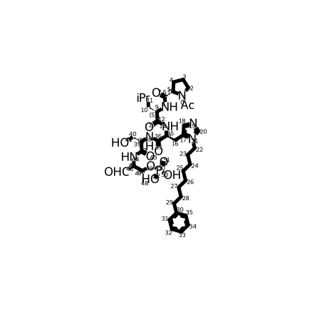 CC(=O)N1CCC[C@H]1C(=O)N[C@@H](CC(C)C)C(=O)N[C@@H](Cc1cncn1CCCCCCCCc1ccccc1)C(=O)N[C@@H](CO)C(=O)N[C@H](C=O)[C@@H](C)OP(=O)(O)O